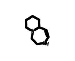 C1=CC2CCCCN2CCN1